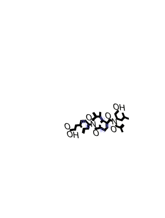 C=C/C=C(\C=C/C(C)CCC(=O)O)N1C(=O)C(=C)/C(C)=C(C)/C(C(=O)N(C(=O)C(=C)C)C(CCO)CC(C)C)=C\C=C(/C)C1=O